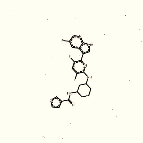 O=C(NC1CCCC(Nc2nc(-c3c[nH]c4ncc(F)cc34)c(F)cc2F)C1)c1ccsc1